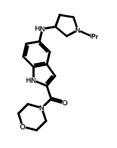 CC(C)N1CCC(Nc2ccc3[nH]c(C(=O)N4CCOCC4)cc3c2)C1